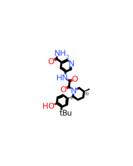 C[C@H]1CC[C@H](c2ccc(O)c(C(C)(C)C)c2)N(C(=O)C(=O)Nc2cncc(C(N)=O)c2)C1